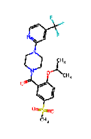 CC(C)Oc1ccc(S(C)(=O)=O)cc1C(=O)N1CCN(c2cc(C(F)(F)F)ccn2)CC1